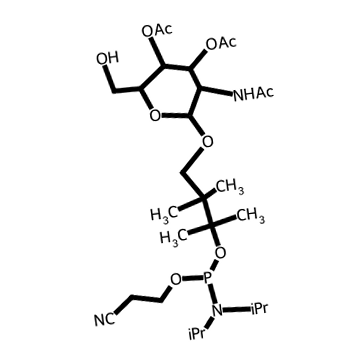 CC(=O)NC1C(OCC(C)(C)C(C)(C)OP(OCCC#N)N(C(C)C)C(C)C)OC(CO)C(OC(C)=O)C1OC(C)=O